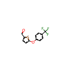 O=Cc1ccc(Oc2ccc(C(F)(F)F)cc2)s1